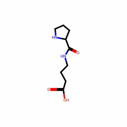 O=C(O)CCCNC(=O)C1CCCN1